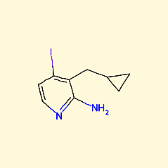 Nc1nccc(I)c1CC1CC1